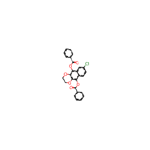 O=C(Oc1c2c(c(OC(=O)c3ccccc3)c3cc(Cl)ccc13)OCCO2)c1ccccc1